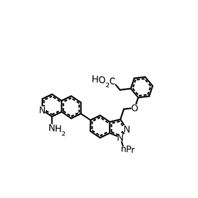 CCCn1nc(COc2ccccc2CC(=O)O)c2cc(-c3ccc4ccnc(N)c4c3)ccc21